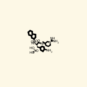 N=C(N)N1CCCC(CNC(=O)[C@@H](Cc2ccc(N)cc2)NS(=O)(=O)c2ccc3ccccc3c2)C1.O=S(O)O